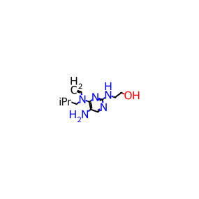 C=CN(CC(C)C)c1nc(NCCO)ncc1N